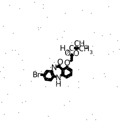 CC(C)(C)OC(=O)COc1cccc2c1C(=O)[N]c1cc(Br)ccc1N2